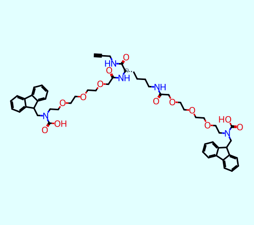 C#CCNC(=O)[C@H](CCCCNC(=O)COCCOCCOCCN(CC1c2ccccc2-c2ccccc21)C(=O)O)NC(=O)COCCOCCOCCN(CC1c2ccccc2-c2ccccc21)C(=O)O